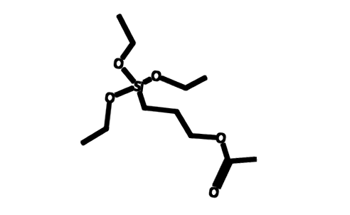 CCO[Si](CCCOC(C)=O)(OCC)OCC